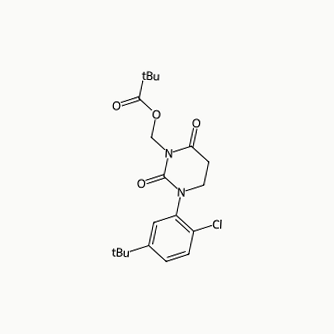 CC(C)(C)C(=O)OCN1C(=O)CCN(c2cc(C(C)(C)C)ccc2Cl)C1=O